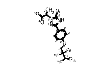 CC(C(=O)Cl)n1nc(-c2ccc(OCC(F)(F)C(F)F)cc2)[nH]c1=O